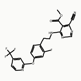 COC(=O)c1c(C#N)ncnc1NCCc1ccc(Oc2cc(C(F)(F)F)ccn2)cc1F